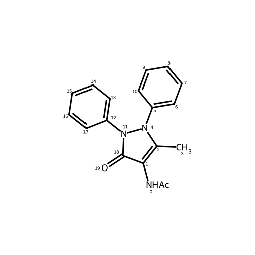 CC(=O)Nc1c(C)n(-c2ccccc2)n(-c2ccccc2)c1=O